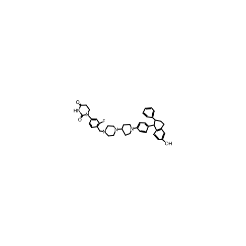 O=C1CCN(c2ccc(CN3CCN(C4CCN(c5ccc(C6c7ccc(O)cc7CCC6c6ccccc6)cc5)CC4)CC3)c(F)c2)C(=O)N1